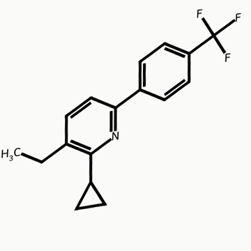 CCc1ccc(-c2ccc(C(F)(F)F)cc2)nc1C1CC1